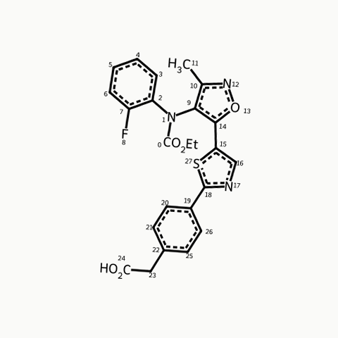 CCOC(=O)N(c1ccccc1F)c1c(C)noc1-c1cnc(-c2ccc(CC(=O)O)cc2)s1